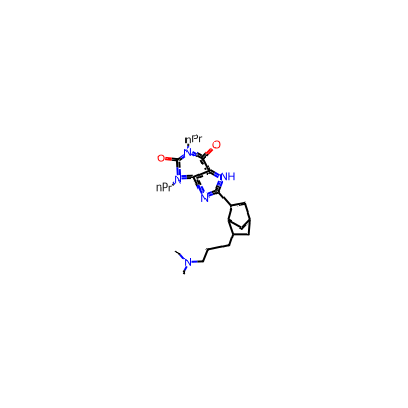 CCCn1c(=O)c2[nH]c(C3CC4CC(CCCN(C)C)C3C4)nc2n(CCC)c1=O